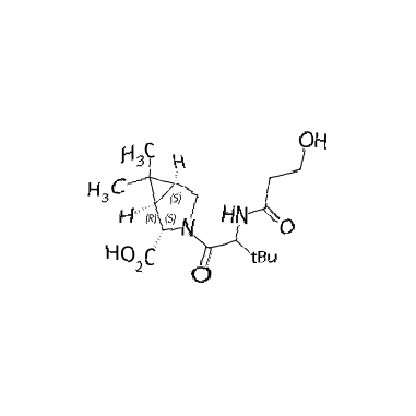 CC(C)(C)C(NC(=O)CCO)C(=O)N1C[C@H]2[C@@H]([C@H]1C(=O)O)C2(C)C